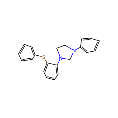 c1ccc(Sc2ccccc2N2CCN(c3ccccc3)C2)cc1